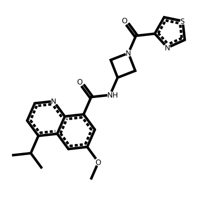 COc1cc(C(=O)NC2CN(C(=O)c3cscn3)C2)c2nccc(C(C)C)c2c1